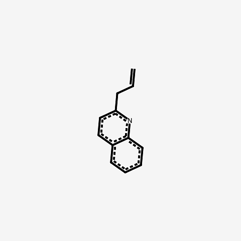 C=CCc1ccc2ccccc2n1